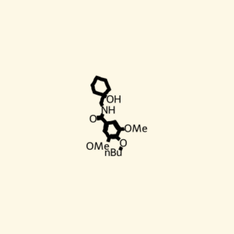 CCCCOc1c(OC)cc(C(=O)NCC2(O)CCCCC2)cc1OC